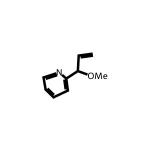 C=CC(OC)c1ccccn1